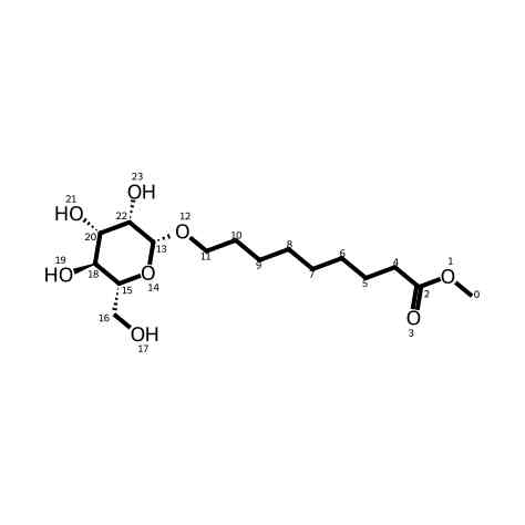 COC(=O)CCCCCCCCO[C@@H]1O[C@H](CO)[C@@H](O)[C@H](O)[C@@H]1O